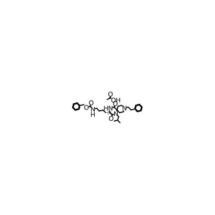 CC(=O)O.CC(C)CN1C(=O)[C@H](CCCCNC(=O)OCc2ccccc2)NC(=O)C12CCN(CCc1ccccc1)CC2